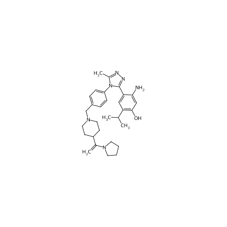 C=C(C1CCN(Cc2ccc(-n3c(C)nnc3-c3cc(C(C)C)c(O)cc3N)cc2)CC1)N1CCCC1